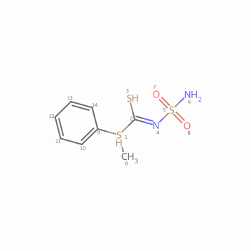 C[SH](C(S)=NS(N)(=O)=O)c1ccccc1